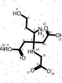 NC(CCO)C(CC(=O)O)(CC(=O)O)NCC(=O)[O-].[Na+]